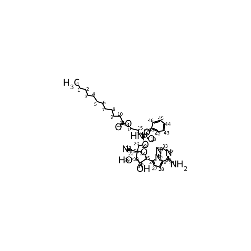 CCCCCCCCCCCC(=O)OCCNP(=O)(OC[C@@]1(C#N)O[C@@H](c2ccc3c(N)ncnn23)[C@H](O)[C@@H]1O)Oc1ccccc1